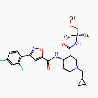 COCC(C)(C)NC(=O)[C@@H]1CN(CC2CC2)CC[C@H]1NC(=O)c1cc(-c2ccc(F)cc2F)no1